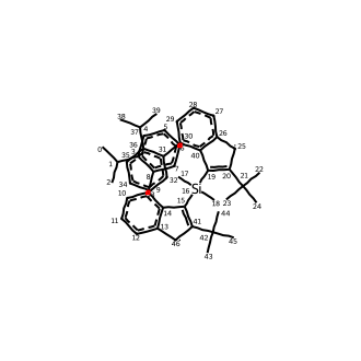 CC(C)c1ccccc1-c1cccc2c1C([Si](C)(C)C1=C(C(C)(C)C)[CH]c3cccc(-c4ccccc4C(C)C)c31)=C(C(C)(C)C)[CH]2